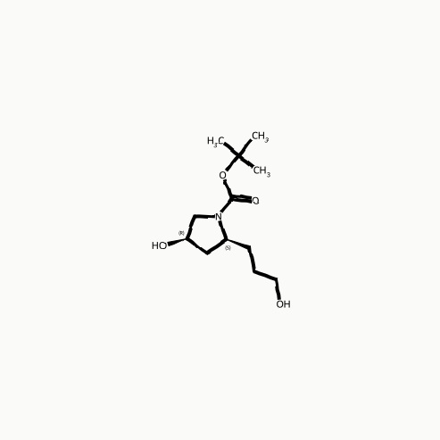 CC(C)(C)OC(=O)N1C[C@H](O)C[C@@H]1CCCO